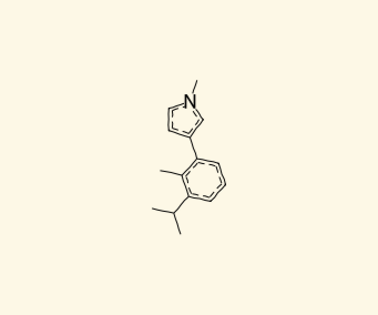 Cc1c(-c2ccn(C)c2)cccc1C(C)C